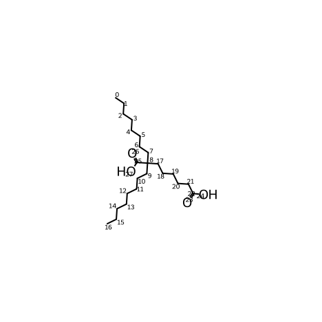 CCCCCCCCC(CCCCCCCC)(CCCCCC(=O)O)C(=O)O